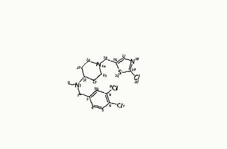 CN(Cc1ccc(Cl)c(Cl)c1)C1CCN(Cc2cnc(Cl)s2)CC1